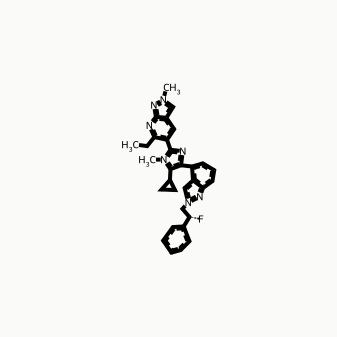 CCc1nc2nn(C)cc2cc1-c1nc(-c2cccc3nn(C[C@H](F)c4ccccc4)cc23)c(C2CC2)n1C